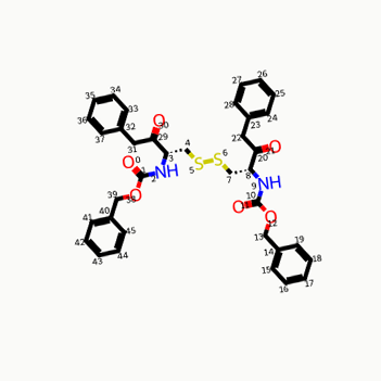 O=C(N[C@@H](CSSC[C@@H](NC(=O)OCc1ccccc1)C(=O)Cc1ccccc1)C(=O)Cc1ccccc1)OCc1ccccc1